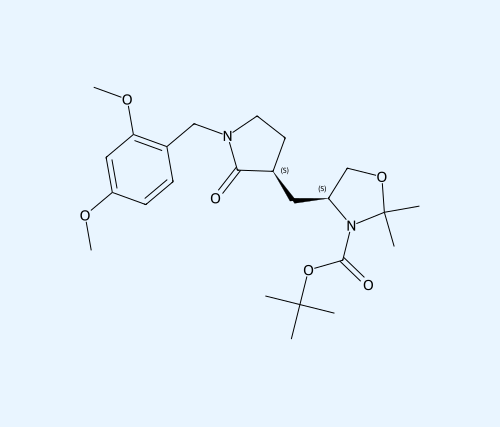 COc1ccc(CN2CC[C@@H](C[C@H]3COC(C)(C)N3C(=O)OC(C)(C)C)C2=O)c(OC)c1